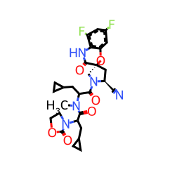 CN(C(=O)C(CC1CC1)N1CCOC1=O)C(CC1CC1)C(=O)N1C[C@@]2(C[C@H]1C#N)Oc1cc(F)cc(F)c1NC2=O